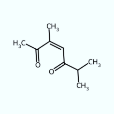 CC(=O)/C(C)=C\C(=O)C(C)C